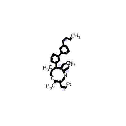 C=C/C=C\c1cccc(-c2cccc(-c3c(C)ccc(C)c(/C=C\CC)cnc(=C/CC)/c3=C\C)c2)c1